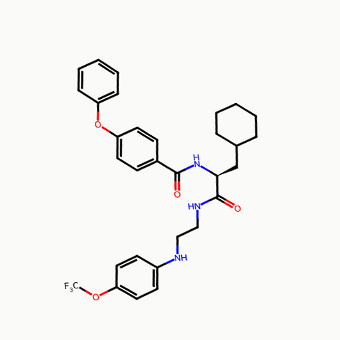 O=C(N[C@@H](CC1CCCCC1)C(=O)NCCNc1ccc(OC(F)(F)F)cc1)c1ccc(Oc2ccccc2)cc1